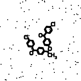 CC(Oc1ccc(C(=O)c2ccc(Cl)cc2)cc1)c1ccc(C(=O)c2ccc(Cl)cc2)cc1